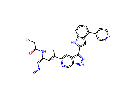 C=N/C=C(\C=C(/C)c1cc2c(-c3cc4c(-c5ccncc5)cccc4[nH]3)n[nH]c2cn1)NC(=O)CC(C)C